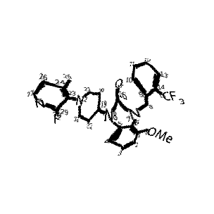 COc1cccc2c1n(Cc1ccccc1C(F)(F)F)c(=O)n2C1CCN(c2c(C)ccnc2F)CC1